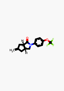 C=C1C[C@H]2CN(c3ccc(OC(F)(F)F)cc3)C(=O)[C@H]2C1